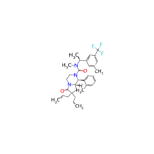 C=CCC1(CC=C)C[C@H]2[C@H](c3ccccc3C)N(C(=O)N(C)[C@@H](C)c3cc(C)cc(C(F)(F)F)c3)CCN2C1=O